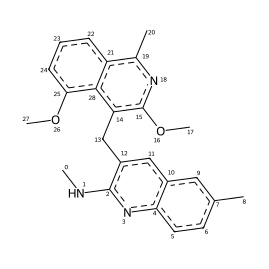 CNc1nc2ccc(C)cc2cc1Cc1c(OC)nc(C)c2cccc(OC)c12